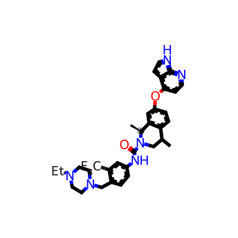 CCN1CCN(Cc2ccc(NC(=O)N3CC(C)c4ccc(Oc5ccnc6[nH]ccc56)cc4[C@@H]3C)cc2C(F)(F)F)CC1